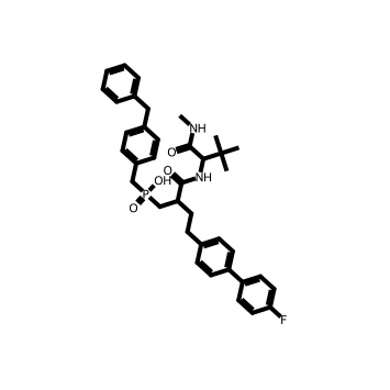 CNC(=O)C(NC(=O)C(CCc1ccc(-c2ccc(F)cc2)cc1)CP(=O)(O)Cc1ccc(Cc2ccccc2)cc1)C(C)(C)C